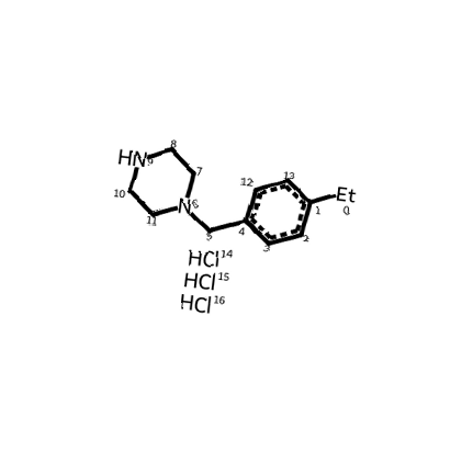 CCc1ccc(CN2CCNCC2)cc1.Cl.Cl.Cl